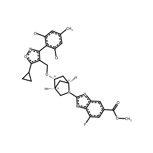 COC(=O)c1cc(F)c2nc(N3C[C@@H]4C[C@H]3C[C@H]4OCc3c(-c4c(Cl)cc(C)cc4Cl)noc3C3CC3)sc2c1